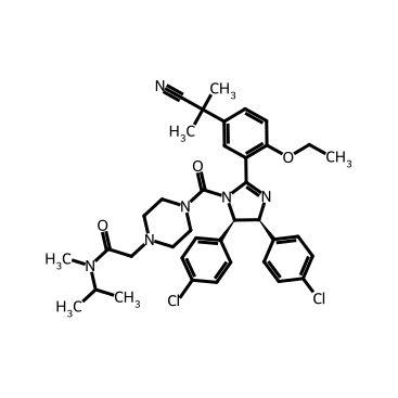 CCOc1ccc(C(C)(C)C#N)cc1C1=N[C@@H](c2ccc(Cl)cc2)[C@@H](c2ccc(Cl)cc2)N1C(=O)N1CCN(CC(=O)N(C)C(C)C)CC1